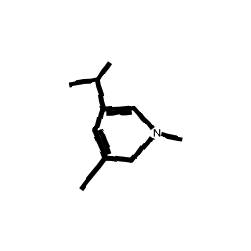 CC1=CC(C(C)C)=CN(C)C1